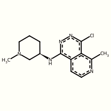 Cc1nccc2c(N[C@@H]3CCCN(C)C3)nnc(Cl)c12